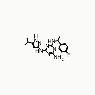 CC(C)c1cc(Nc2nc(N)nc(NC(C)c3ccc(F)cc3)n2)n[nH]1